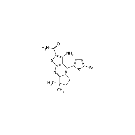 CC1(C)CCc2c1nc1sc(C(N)=O)c(N)c1c2-c1ccc(Br)s1